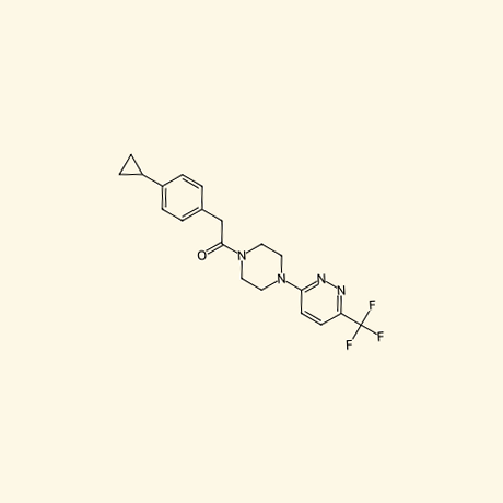 O=C(Cc1ccc(C2CC2)cc1)N1CCN(c2ccc(C(F)(F)F)nn2)CC1